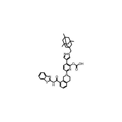 CC12CC3(C)CC(C)(C1)CC(Cn1cc(-c4ccc(N5CCc6cccc(C(=O)Nc7nc8ccccc8s7)c6C5)nc4OC(=O)O)cn1)(C2)C3